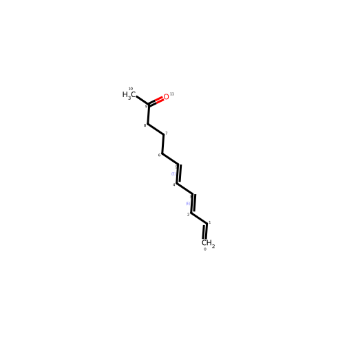 C=C/C=C/C=C/CCCC(C)=O